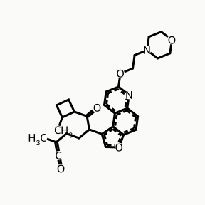 CC(=C=O)CCC(C(=O)C1CCC1C)c1coc2ccc3nc(OCCN4CCOCC4)ccc3c12